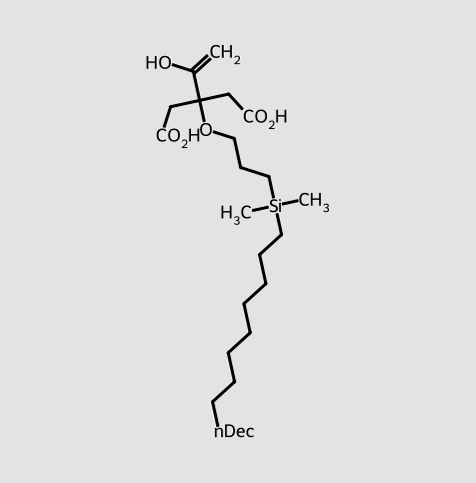 C=C(O)C(CC(=O)O)(CC(=O)O)OCCC[Si](C)(C)CCCCCCCCCCCCCCCCCC